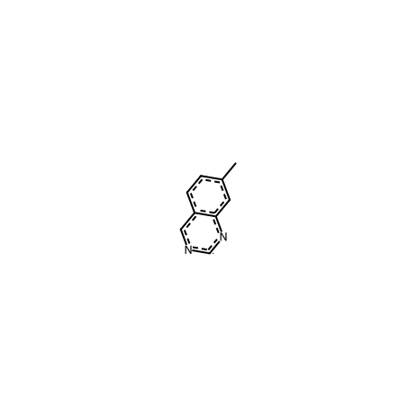 Cc1ccc2cn[c]nc2c1